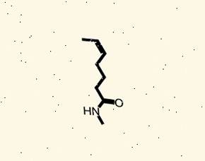 C/C=C\CCCC(=O)NC